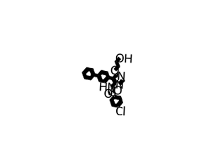 O=S(=O)(Nc1ncnc(OCCO)c1-c1ccc(-c2ccccc2)cc1)c1ccc(Cl)cc1